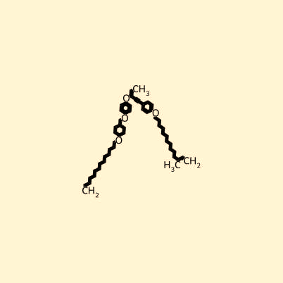 C=CCCCCCCCCCCCCOC1CCC(COc2ccc(O/C(C#CC3C=CC(OCCCCCCCCCCCC(C)C=C)=CC3)=C/C)cc2)CC1